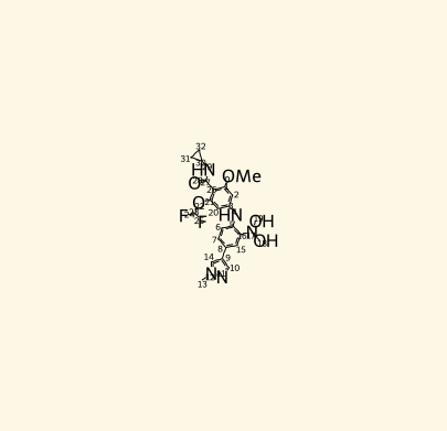 COc1cc(Nc2ccc(-c3cnn(C)c3)cc2N(O)O)cc(OC(F)F)c1C(=O)NC1CC1